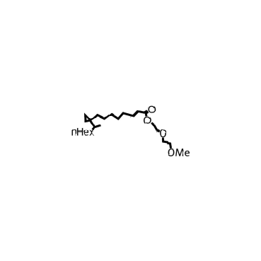 CCCCCCC(C)C1(CCCCCCCC(=O)OCCOCCOC)CC1